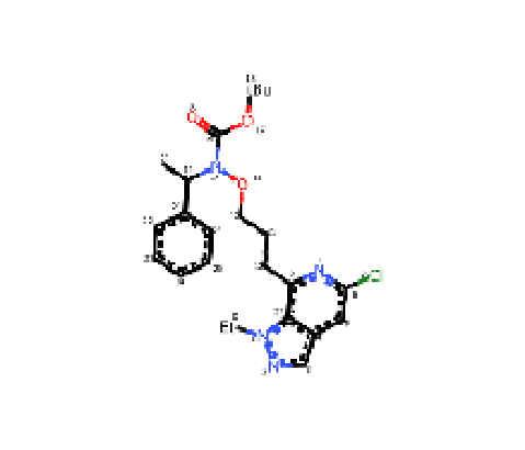 CCn1ncc2cc(Cl)nc(CCCON(C(=O)OC(C)(C)C)C(C)c3ccccc3)c21